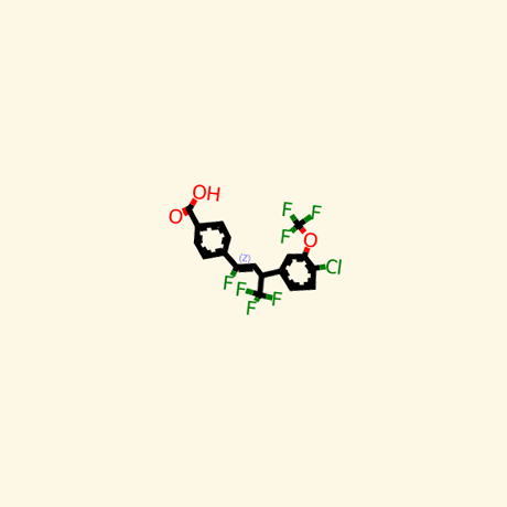 O=C(O)c1ccc(/C(F)=C/C(c2ccc(Cl)c(OC(F)(F)F)c2)C(F)(F)F)cc1